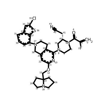 C=C(F)C(=O)N1CCN(c2nc(OCC34CCCN3CCC4)cc3c2CCN(c2cccc4cc(Cl)sc24)C3)C[C@@H]1CC#N